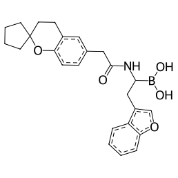 O=C(Cc1ccc2c(c1)CCC1(CCCC1)O2)NC(Cc1coc2ccccc12)B(O)O